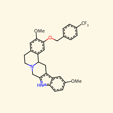 COc1ccc2[nH]c3c(c2c1)CC1c2cc(OCc4ccc(C(F)(F)F)cc4)c(OC)cc2CCN1C3